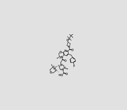 C[C@@H]1CN(CC(=O)N2c3cc(Cc4ccc(F)cc4)c(C(=O)N4CC(O[Si](C)(C)C(C)(C)C)C4)nc3OC[C@@H]2C)[C@@H](CN2[C@H](C)COC[C@H]2C)CN1C(=O)O